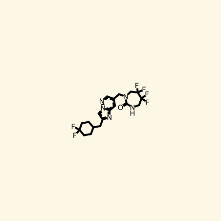 O=C1NCC(F)(F)C(F)(F)CN1Cc1cnn2cc(CC3CCC(F)(F)CC3)nc2c1